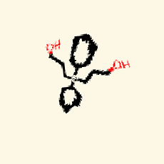 OCCC[Si](CCCO)(c1ccccc1)c1ccccc1